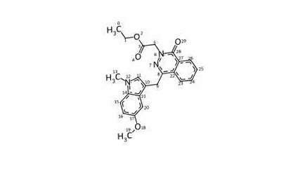 CCOC(=O)Cn1nc(Cc2cn(C)c3ccc(OC)cc23)c2ccccc2c1=O